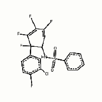 O=S(=O)(NC1C=C(F)C(F)=C(F)C1(F)c1ccc(F)c(Cl)c1)c1ccccc1